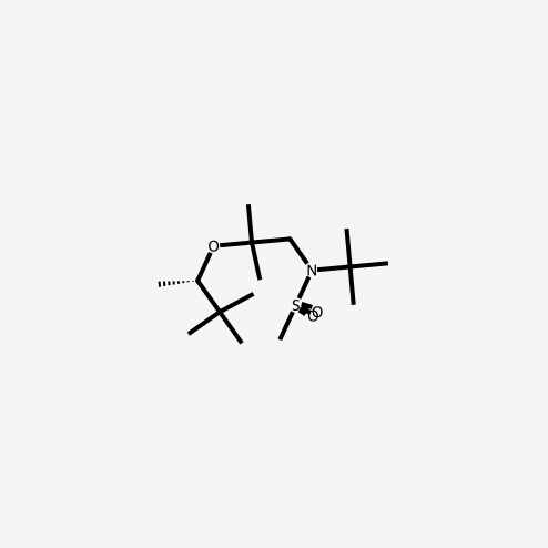 C[C@H](OC(C)(C)CN(C(C)(C)C)S(C)(=O)=O)C(C)(C)C